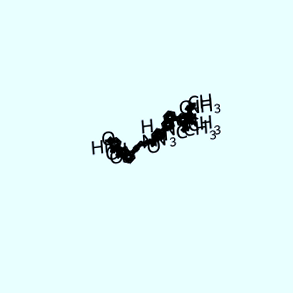 CNC(=O)c1cn(C)c2c(C(C)C)cc(-c3cccc4cc(-c5ccc(C(=O)NCCC#Cc6cccc7c6CN(C6CCC(=O)NC6=O)C7=O)nc5)ncc34)cc12